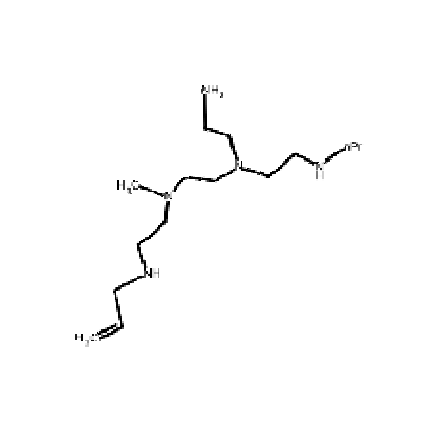 C=CCNCCN(C)CCN(CCN)CCNCCC